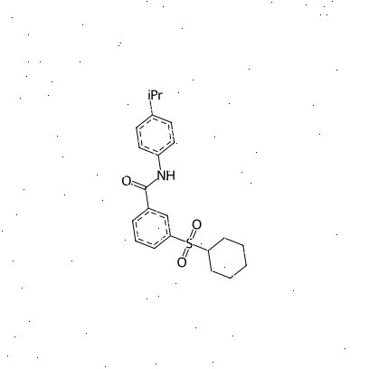 CC(C)c1ccc(NC(=O)c2cccc(S(=O)(=O)C3CCCCC3)c2)cc1